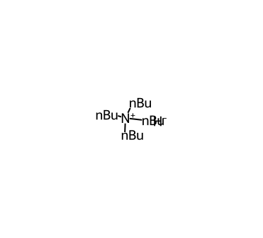 CCCC[N+](CCCC)(CCCC)CCCC.[H-]